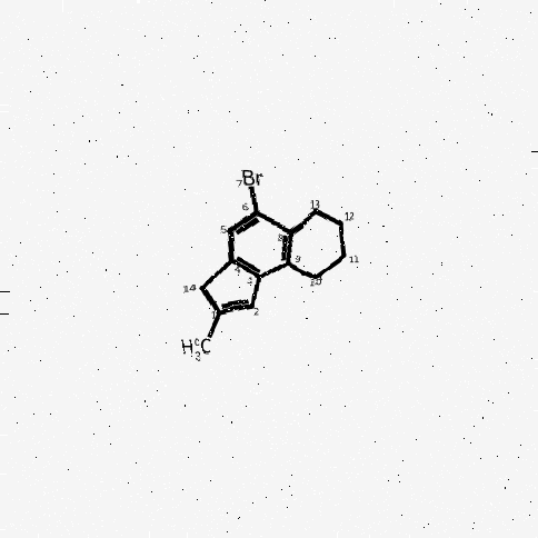 CC1=Cc2c(cc(Br)c3c2CCCC3)C1